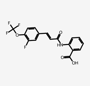 O=C(/C=C/c1ccc(OC(F)(F)F)c(F)c1)Nc1ccccc1C(=O)O